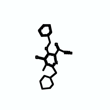 CNC(=O)c1nc(CC2CCCCC2)n(C)c(=O)c1OCc1ccccc1